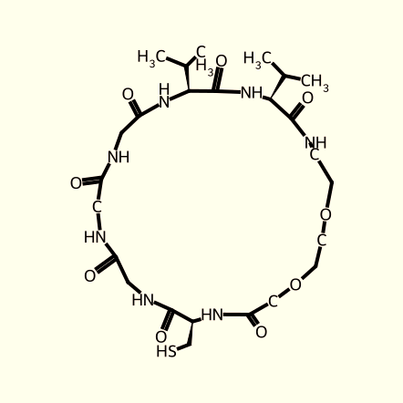 CC(C)[C@@H]1NC(=O)CNC(=O)CNC(=O)CNC(=O)[C@H](CS)NC(=O)COCCOCCNC(=O)[C@H](C(C)C)NC1=O